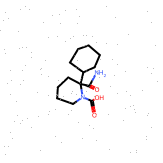 NC(=O)C1(C2CCCCC2)CCCCN1C(=O)O